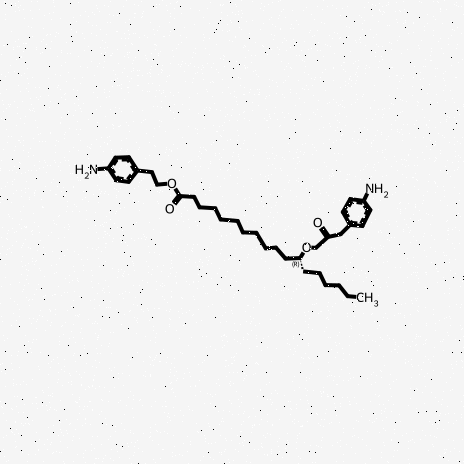 CCCCCC[C@H](CCCCCCCCCCC(=O)OCCc1ccc(N)cc1)OCC(=O)Cc1ccc(N)cc1